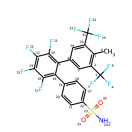 Cc1c(C(F)(F)F)cc(-c2c(F)c(F)c(F)c(F)c2-c2ccc(S(N)(=O)=O)cc2)cc1C(F)(F)F